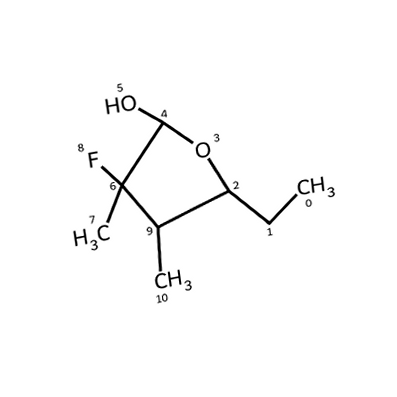 CCC1OC(O)C(C)(F)C1C